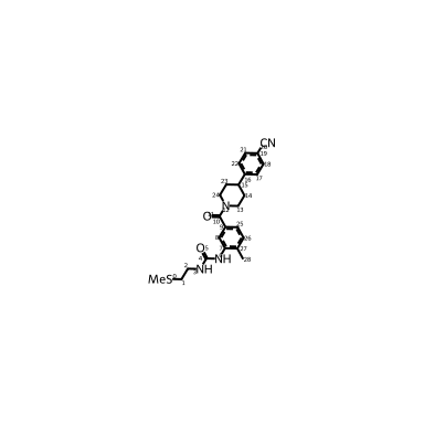 CSCCNC(=O)Nc1cc(C(=O)N2CCC(c3ccc(C#N)cc3)CC2)ccc1C